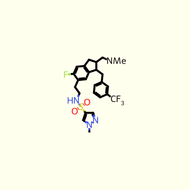 CNCC1Cc2cc(F)c(CCNS(=O)(=O)c3cnn(C)c3)cc2C1Cc1cccc(C(F)(F)F)c1